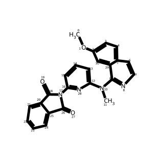 COc1ccc2ccnc(N(C)c3cccc(N4C(=O)c5ccccc5C4=O)n3)c2c1